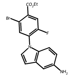 CCOC(=O)c1cc(F)c(-n2ccc3cc(N)ccc32)cc1Br